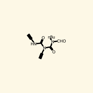 C#CNC(=O)N(C#C)C(=O)N(C=O)CCCC